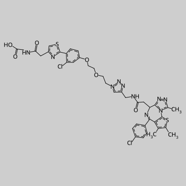 Cc1sc2c(c1C)C(c1ccc(Cl)cc1)=NC(CC(=O)NCc1cn(CCOCCOc3ccc(-c4nc(CC(=O)NCC(=O)O)cs4)c(Cl)c3)nn1)c1nnc(C)n1-2